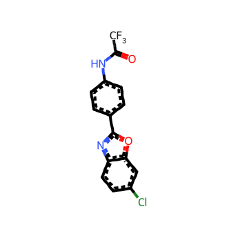 O=C(Nc1ccc(-c2nc3ccc(Cl)cc3o2)cc1)C(F)(F)F